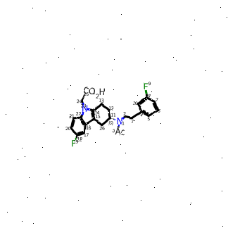 CC(=O)N(CCc1cccc(F)c1)[C@H]1CCc2c(c3cc(F)ccc3n2CC(=O)O)C1